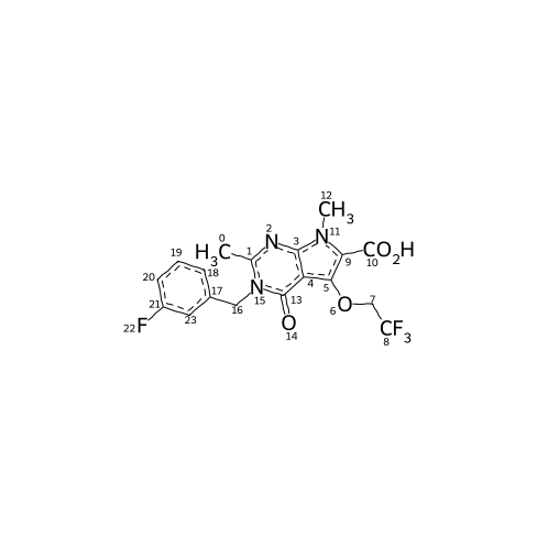 Cc1nc2c(c(OCC(F)(F)F)c(C(=O)O)n2C)c(=O)n1Cc1cccc(F)c1